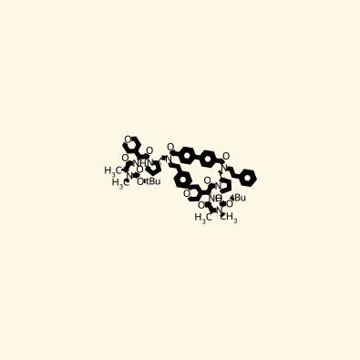 C[C@@H](C(=O)N[C@H](C(=O)N1CCC[C@H]1CN(CCc1ccccc1)C(=O)c1ccc(-c2ccc(C(=O)N(CCc3ccccc3)C[C@@H]3CCCN3C(=O)[C@@H](NC(=O)[C@H](C)N(C)C(=O)OC(C)(C)C)C3CCOCC3)cc2)cc1)C1CCOCC1)N(C)C(=O)OC(C)(C)C